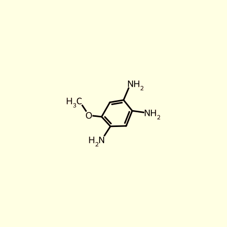 COc1cc(N)c(N)cc1N